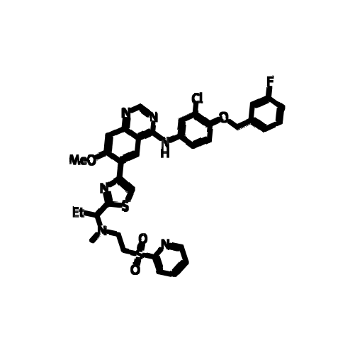 CCC(c1nc(-c2cc3c(Nc4ccc(OCc5cccc(F)c5)c(Cl)c4)ncnc3cc2OC)cs1)N(C)CCS(=O)(=O)c1ccccn1